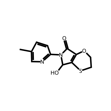 Cc1ccc(N2C(=O)C3=C(SCCO3)C2O)nc1